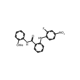 COc1ccccc1NC(=O)c1ccccc1Nc1ccc([N+](=O)[O-])cc1F